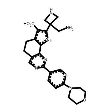 NCC1(c2[nH]c3c(c2C(=O)O)CCc2cnc(-c4ccc(N5CCOCC5)nc4)nc2-3)CNC1